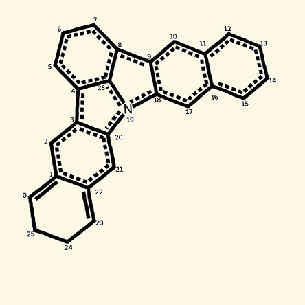 C1=c2cc3c4cccc5c6cc7ccccc7cc6n(c3cc2=CCC1)c45